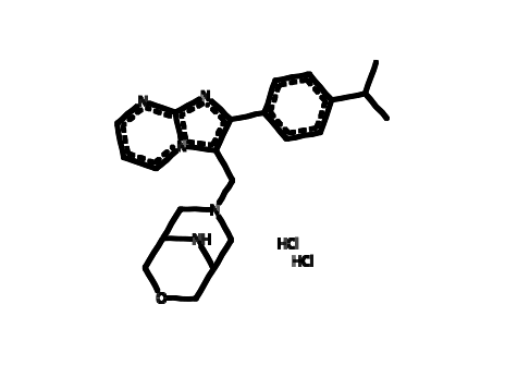 CC(C)c1ccc(-c2nc3ncccn3c2CN2CC3COCC(C2)N3)cc1.Cl.Cl